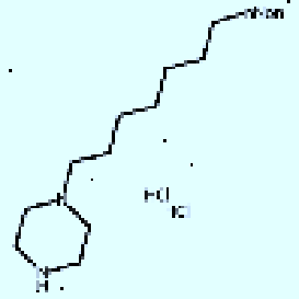 CCCCCCCCCCCCCCCCN1CCNCC1.Cl.Cl